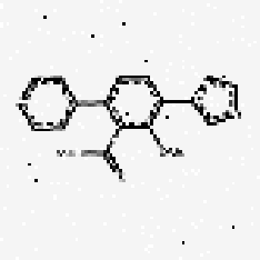 COC(=S)c1c(-c2ccccc2)ccc(-c2ccoc2)c1OC